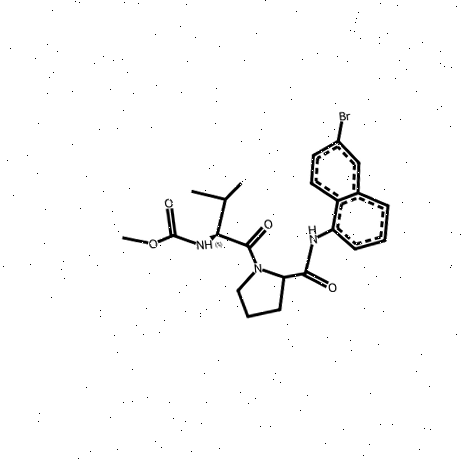 COC(=O)N[C@H](C(=O)N1CCCC1C(=O)Nc1cccc2cc(Br)ccc12)C(C)C